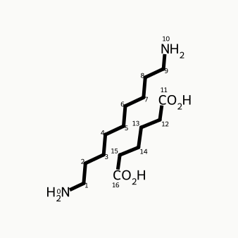 NCCCCCCCCCN.O=C(O)CCCCC(=O)O